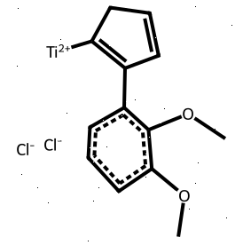 COc1cccc(C2=[C]([Ti+2])CC=C2)c1OC.[Cl-].[Cl-]